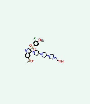 CCOc1ccc(S(=O)(=O)c2cnc3ccc([S+](C)[O-])cc3c2N2CCC(N3CCC(N4CCN(CCO)CC4)CC3)CC2)cc1F